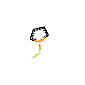 FSp1cccc1